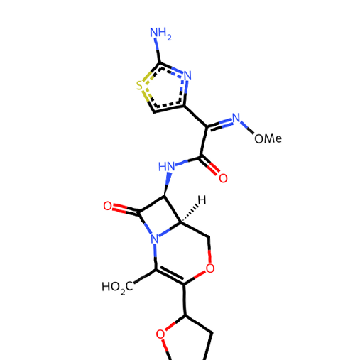 CO/N=C(\C(=O)N[C@@H]1C(=O)N2C(C(=O)O)=C(C3CCCO3)OC[C@H]12)c1csc(N)n1